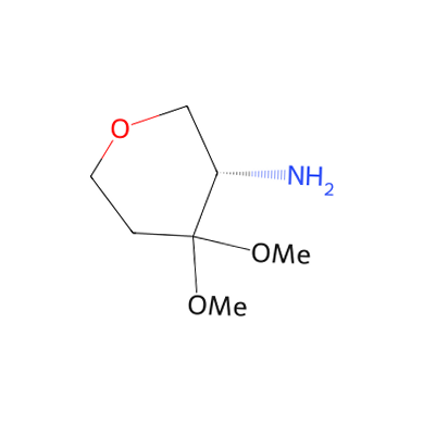 COC1(OC)CCOC[C@@H]1N